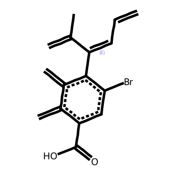 C=C/C=C(\C(=C)C)c1c(Br)cc(C(=O)O)c(=C)c1=C